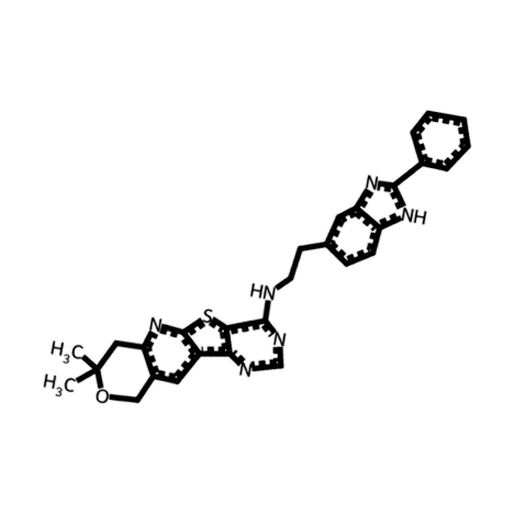 CC1(C)Cc2nc3sc4c(NCCc5ccc6[nH]c(-c7ccccc7)nc6c5)ncnc4c3cc2CO1